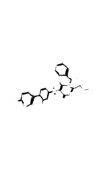 CC(C)OCc1nc(=O)c(S(=O)(=O)c2ccc(-c3ccc(F)nc3)c(F)c2)c(O)n1[C@@H](C)c1ccccc1